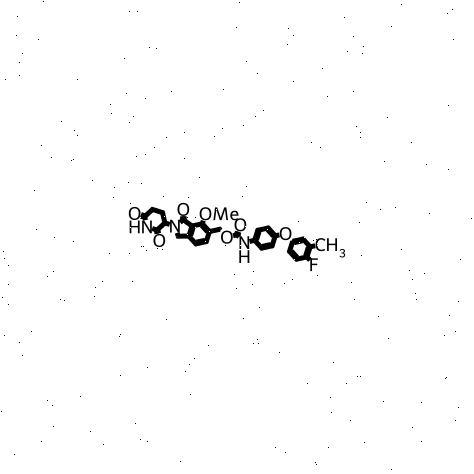 COc1c(COC(=O)Nc2ccc(Oc3ccc(F)c(C)c3)cc2)ccc2c1C(=O)N(C1CCC(=O)NC1=O)C2